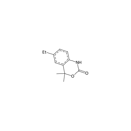 CCc1ccc2c(c1)C(C)(C)OC(=O)N2